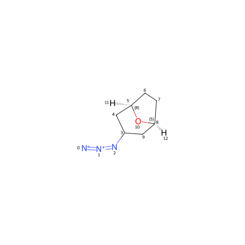 [N-]=[N+]=NC1C[C@H]2CC[C@@H](C1)O2